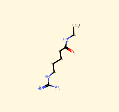 N=C(N)NCCCCC(=O)NCC(=O)O